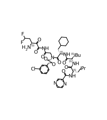 CC[C@H](C)[C@H](NC(=O)[C@H](CC(C)C)NC(=O)c1cnccn1)C(=O)N[C@@H](CC1CCCCC1)C(=O)N(CC(=O)NC(=O)C(=O)[C@@H](N)CC(F)F)S(=O)(=O)c1cccc(Cl)c1